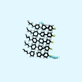 CCCC[C@H]1CC[C@H](C2CC=C(c3ccc([S])cc3)CC2)CC1.CCCC[C@H]1CC[C@H](C2CC=C(c3ccc([S])cc3)CC2)CC1.CCCC[C@H]1CC[C@H](C2CC=C(c3ccc([S])cc3)CC2)CC1.CCCC[C@H]1CC[C@H](C2CC=C(c3ccc([S])cc3)CC2)CC1.CCCC[C@H]1CC[C@H](C2CC=C(c3ccc([S])cc3)CC2)CC1.F.F.F.F.F